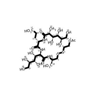 CC(=O)OCCSSC[C@H](NC(=O)[C@H](NC(=O)[C@H](CCC(=O)O)NC(=O)[C@H](C)[C@@H](O)[C@H](O)[C@H](O)CO)[C@@H](O)[C@H](O)[C@H](O)CO)C(=O)O